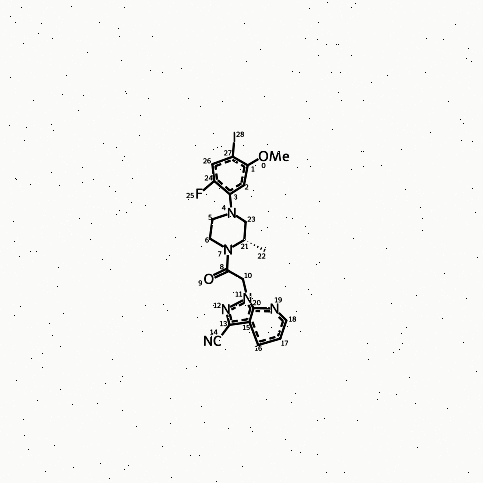 COc1cc(N2CCN(C(=O)Cn3nc(C#N)c4cccnc43)[C@@H](C)C2)c(F)cc1I